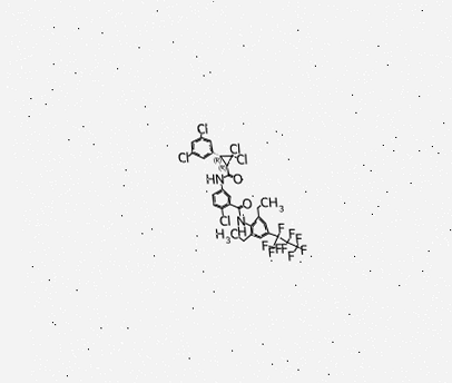 CCc1cc(C(F)(C(F)(F)F)C(F)(F)C(F)(F)F)cc(CC)c1NC(=O)c1cc(NC(=O)[C@H]2[C@H](c3cc(Cl)cc(Cl)c3)C2(Cl)Cl)ccc1Cl